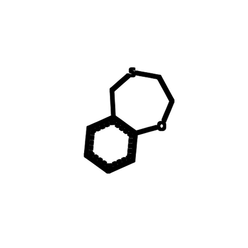 c1ccc2c(c1)CSCCO2